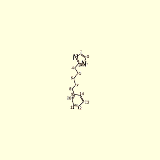 C1=CN=C(CCCCCc2ccccc2)[N]1